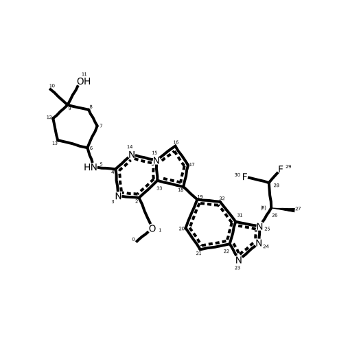 COc1nc(NC2CCC(C)(O)CC2)nn2ccc(-c3ccc4nnn([C@H](C)C(F)F)c4c3)c12